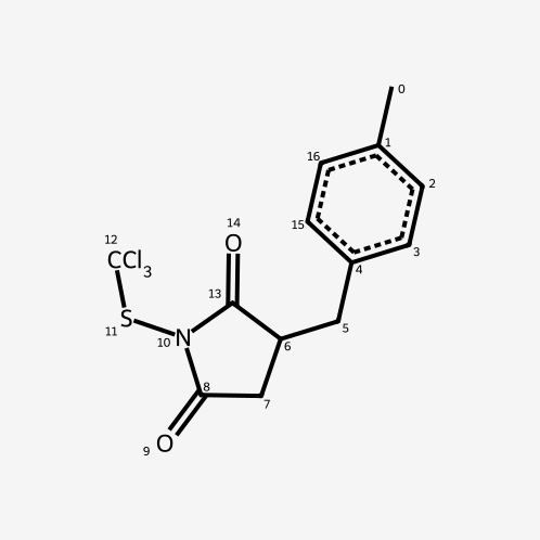 Cc1ccc(CC2CC(=O)N(SC(Cl)(Cl)Cl)C2=O)cc1